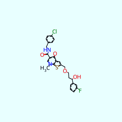 Cn1cc(C(=O)NCc2ccc(Cl)cc2)c(=O)c2cc(COCCC(O)c3cccc(F)c3)sc21